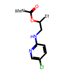 CCC(CNc1ccc(Cl)cn1)OC(=O)NC